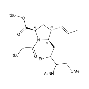 CC=C[C@H]1C[C@H](C(=O)OC(C)(C)C)N(C(=O)OC(C)(C)C)[C@@H]1CC(CC)C(COC)NC(C)=O